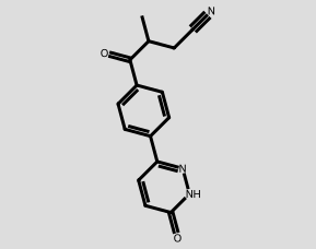 CC(CC#N)C(=O)c1ccc(-c2ccc(=O)[nH]n2)cc1